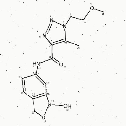 COCCn1nnc(C(=O)Nc2ccc3c(c2)B(O)OC3)c1C